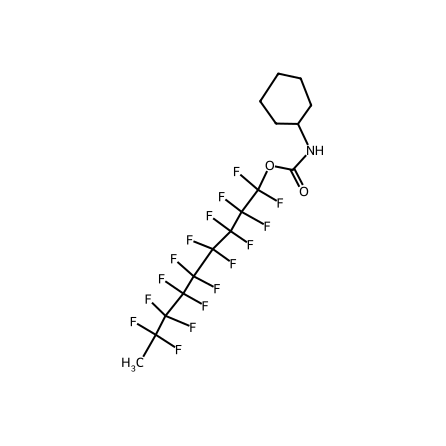 CC(F)(F)C(F)(F)C(F)(F)C(F)(F)C(F)(F)C(F)(F)C(F)(F)C(F)(F)OC(=O)NC1CCCCC1